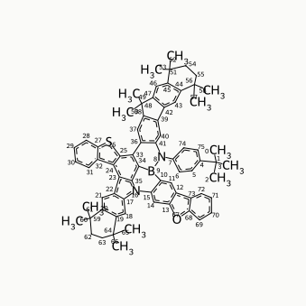 CC(C)(C)c1ccc(N2B3c4cc5c(cc4-n4c6cc7c(cc6c6c8c(sc9ccccc98)c(c3c64)-c3cc4c(cc32)-c2cc3c(cc2C4(C)C)C(C)(C)CCC3(C)C)C(C)(C)CCC7(C)C)oc2ccccc25)cc1